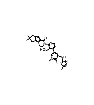 Cc1cnc(Nc2cc(-c3ccnc(N4CCn5c(cc6c5CC(C)(C)C6)C4=O)c3CO)cn(C)c2=O)o1